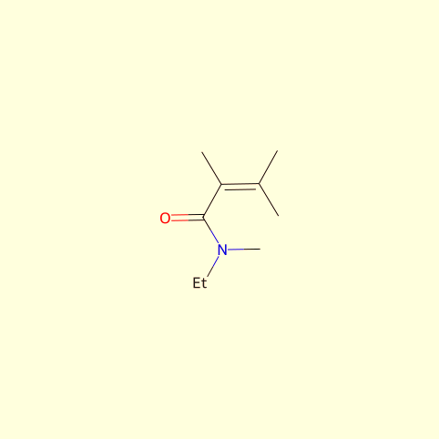 CCN(C)C(=O)C(C)=C(C)C